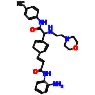 N#Cc1ccc(NC(=O)C(NCCN2CCOCC2)C2=CCC(/C=C/C(=O)Nc3ccccc3N)C=C2)cc1